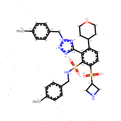 COc1ccc(CNS(=O)(=O)c2c(S(=O)(=O)C3CNC3)ccc(C3CCOCC3)c2-c2nnn(Cc3ccc(OC)cc3)n2)cc1